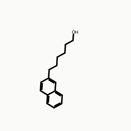 OCCCCC[CH]c1ccc2ccccc2c1